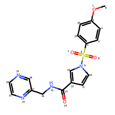 COc1ccc(S(=O)(=O)n2ccc(C(=O)NCc3cnccn3)c2)cc1